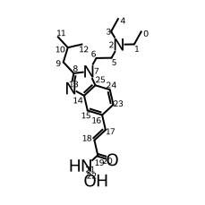 CCN(CC)CCn1c(CC(C)C)nc2cc(C=CC(=O)NO)ccc21